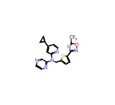 FC(F)(F)c1nc(-c2ccc(CN(c3cnccn3)c3cc(C4CC4)ccn3)s2)no1